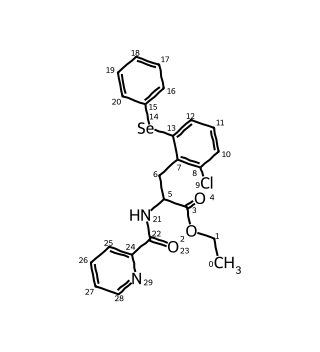 CCOC(=O)C(Cc1c(Cl)cccc1[Se]c1ccccc1)NC(=O)c1ccccn1